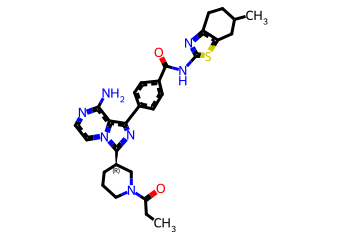 CCC(=O)N1CCC[C@@H](c2nc(-c3ccc(C(=O)Nc4nc5c(s4)CC(C)CC5)cc3)c3c(N)nccn23)C1